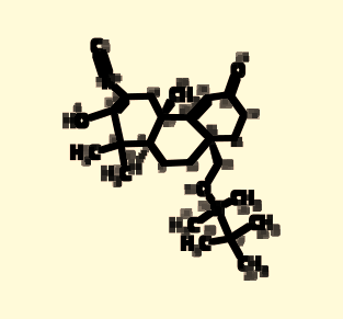 [C-]#[N+]C1=C(O)C(C)(C)[C@@H]2CC[C@@]3(CO[Si](C)(C)C(C)(C)C)CCC(=O)C=C3[C@@]2(C)C1